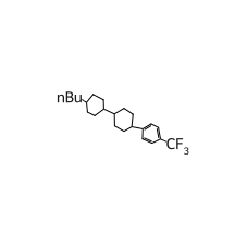 CCCCC1CCC(C2CCC(c3ccc(C(F)(F)F)cc3)CC2)CC1